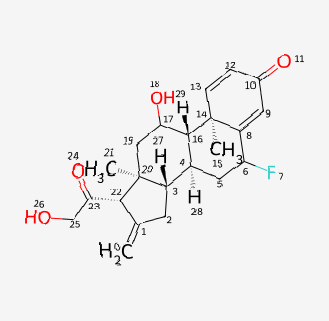 C=C1C[C@H]2[C@@H]3CC(F)C4=CC(=O)C=C[C@]4(C)[C@H]3C(O)C[C@]2(C)[C@H]1C(=O)CO